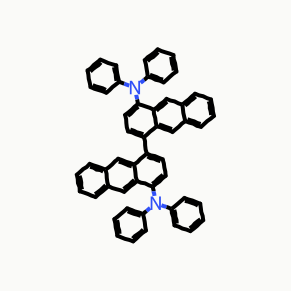 c1ccc(N(c2ccccc2)c2ccc(-c3ccc(N(c4ccccc4)c4ccccc4)c4cc5ccccc5cc34)c3cc4ccccc4cc23)cc1